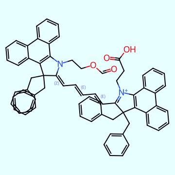 O=COCCN1\C(=C/C=C/C=C/C2=[N+](CCC(=O)O)c3c(c4ccccc4c4ccccc34)C2(Cc2ccccc2)Cc2ccccc2)C(Cc2ccccc2)(Cc2ccccc2)c2c1c1ccccc1c1ccccc21